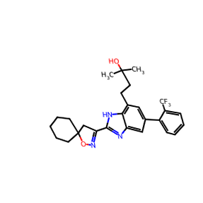 CC(C)(O)CCc1cc(-c2ccccc2C(F)(F)F)cc2nc(C3=NOC4(CCCCC4)C3)[nH]c12